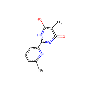 CCCc1cccc(-c2nc(=O)c(C(F)(F)F)c(O)[nH]2)n1